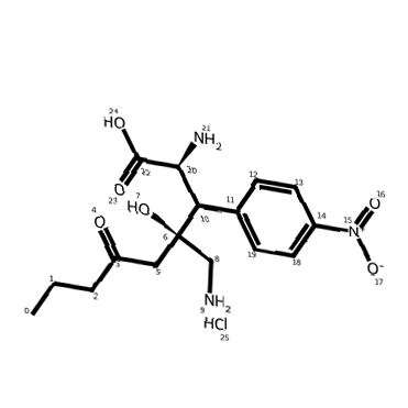 CCCC(=O)C[C@@](O)(CN)C(c1ccc([N+](=O)[O-])cc1)[C@H](N)C(=O)O.Cl